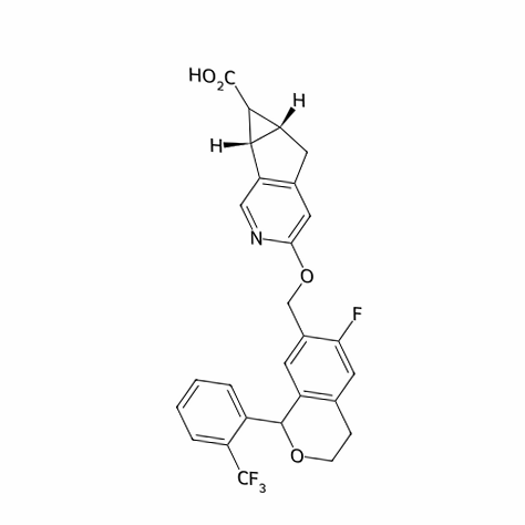 O=C(O)C1[C@H]2c3cnc(OCc4cc5c(cc4F)CCOC5c4ccccc4C(F)(F)F)cc3C[C@@H]12